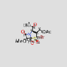 COC1C(=O)N2C(C(=O)C(C)(C)C)=C(COC(C)=O)C(Br)S(=O)(=O)[C@@H]12